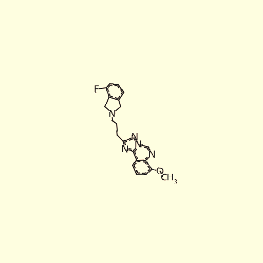 COc1cccc2c1ncn1nc(CCCN3Cc4cccc(F)c4C3)nc21